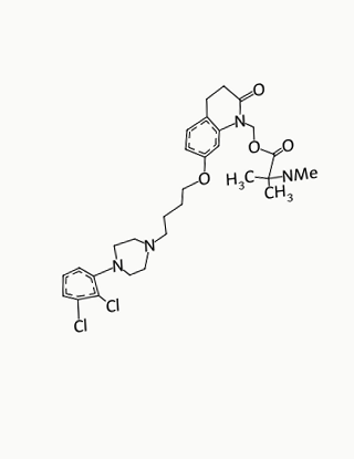 CNC(C)(C)C(=O)OCN1C(=O)CCc2ccc(OCCCCN3CCN(c4cccc(Cl)c4Cl)CC3)cc21